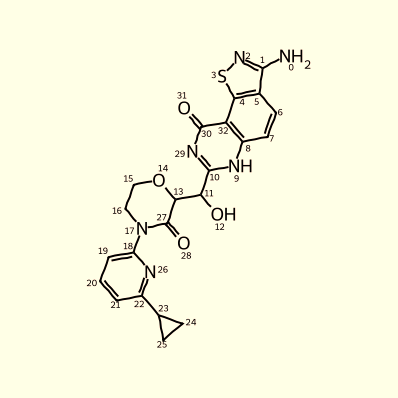 Nc1nsc2c1ccc1[nH]c(C(O)C3OCCN(c4cccc(C5CC5)n4)C3=O)nc(=O)c12